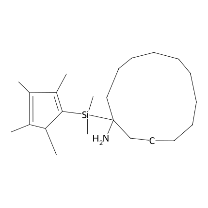 CC1=C(C)C(C)C([Si](C)(C)C2(N)CCCCCCCCCCC2)=C1C